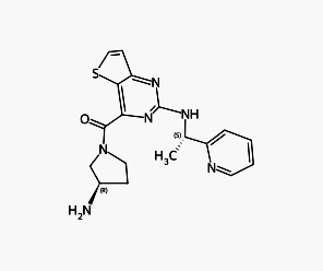 C[C@H](Nc1nc(C(=O)N2CC[C@@H](N)C2)c2sccc2n1)c1ccccn1